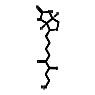 NCCC(=O)C(=O)CCCC[C@@H]1SC[C@@H]2NC(=O)N[C@@H]21